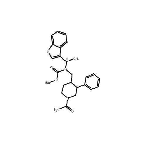 C[C@H](c1csc2ccccc12)N(CC1CCN(C(=O)C(F)(F)F)CC1c1ccccc1)C(=O)OC(C)(C)C